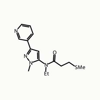 CCN(C(=O)CCSC)c1cc(-c2cccnc2)nn1C